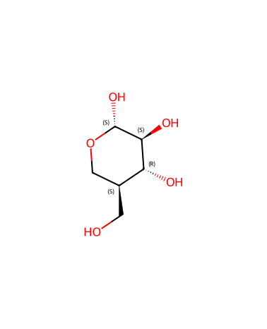 OC[C@H]1CO[C@H](O)[C@@H](O)[C@@H]1O